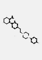 Cl.Cl.O=c1[nH]c2cc(CCN3CCN(c4ccc(Cl)cc4)CC3)ccc2c2c1CCCC2